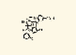 CCN1[C@H]2CCn3c(nc4cc(C(=O)O)ccc43)[C@H]2[C@H](c2cccc(Cl)c2F)[C@]1(C)C(=O)Nc1cccc(Cl)c1